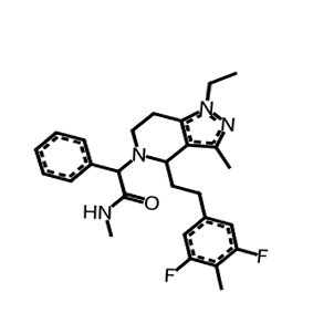 CCn1nc(C)c2c1CCN(C(C(=O)NC)c1ccccc1)C2CCc1cc(F)c(C)c(F)c1